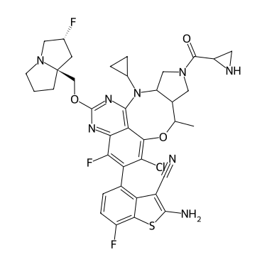 CC1Oc2c(Cl)c(-c3ccc(F)c4sc(N)c(C#N)c34)c(F)c3nc(OC[C@@]45CCCN4C[C@H](F)C5)nc(c23)N(C2CC2)C2CN(C(=O)C3CN3)CC12